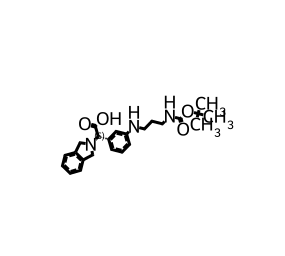 CC(C)(C)OC(=O)NCCCNc1cccc([C@@H](C(=O)O)N2Cc3ccccc3C2)c1